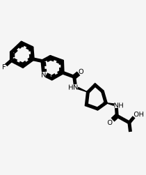 CC(O)C(=O)N[C@H]1CC[C@@H](NC(=O)c2ccc(-c3cccc(F)c3)nc2)CC1